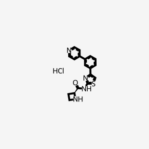 Cl.O=C(Nc1nc(-c2cccc(-c3ccncc3)c2)cs1)[C@@H]1CCN1